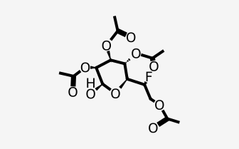 CC(=O)OC[C@H](F)[C@H]1O[C@@H](O)[C@@H](OC(C)=O)[C@@H](OC(C)=O)[C@@H]1OC(C)=O